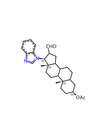 CC(=O)O[C@H]1CC[C@@]2(C)C(CCC3C2CC[C@@]2(C)C3CC(C=O)[C@@H]2n2cnc3ccccc32)C1